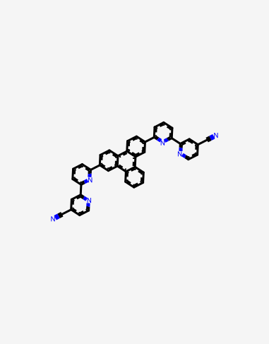 N#Cc1ccnc(-c2cccc(-c3ccc4c5ccc(-c6cccc(-c7cc(C#N)ccn7)n6)cc5c5ccccc5c4c3)n2)c1